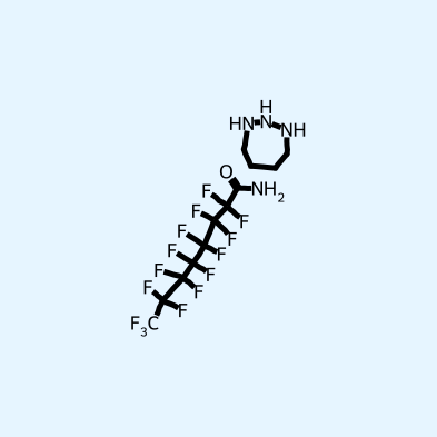 C1CCNNNC1.NC(=O)C(F)(F)C(F)(F)C(F)(F)C(F)(F)C(F)(F)C(F)(F)C(F)(F)F